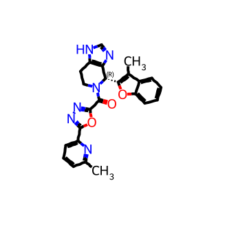 Cc1cccc(-c2nnc(C(=O)N3CCc4[nH]cnc4[C@@H]3c3oc4ccccc4c3C)o2)n1